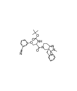 CN1N=C2CCN(C(=O)C(COc3cccc(C#N)c3)NC(=O)OC(C)(C)C)C[C@@]2(Cc2ccccc2)C1=O